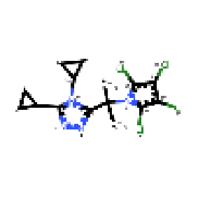 CC(C)(c1nnc(C2CC2)n1C1CC1)n1c(Cl)c(Cl)c(Cl)c1Cl